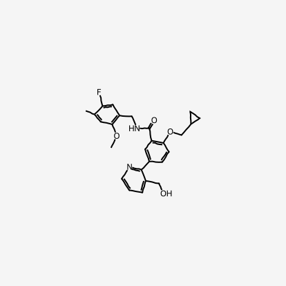 COc1cc(C)c(F)cc1CNC(=O)c1cc(-c2ncccc2CO)ccc1OCC1CC1